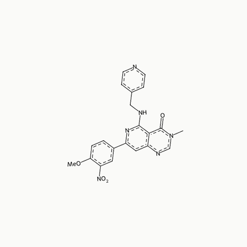 COc1ccc(-c2cc3ncn(C)c(=O)c3c(NCc3ccncc3)n2)cc1[N+](=O)[O-]